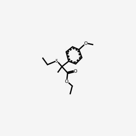 CCOC(=O)C(C)(SCC)c1ccc(OC)cc1